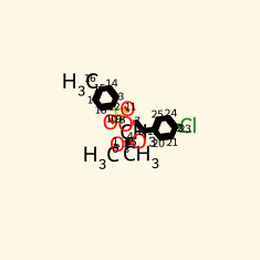 COC(C)(C)OC(COS(=O)(=O)c1ccc(C)cc1)c1ccc(Cl)cc1